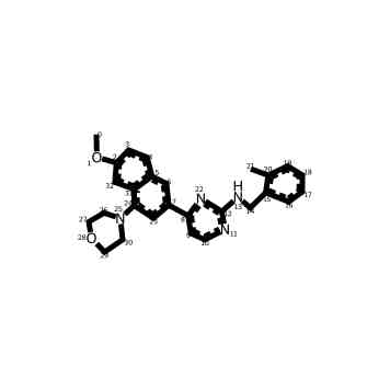 COc1ccc2cc(-c3ccnc(NCc4ccccc4C)n3)cc(N3CCOCC3)c2c1